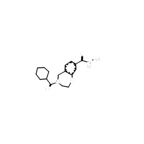 O=C(NO)c1ccc2c(c1)OCCN(C(=O)C1CCCCC1)C2